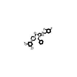 COc1cc(OC)cc(N2CCN(C(=O)[C@@H]3C[C@H](NCc4ccc(F)cc4F)CN3Cc3ccccc3)CC2)c1